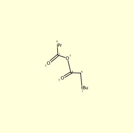 CC(C)C(=O)OC(=O)CC(C)(C)C